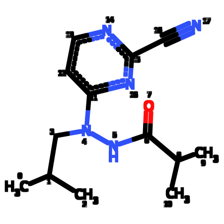 CC(C)CN(NC(=O)C(C)C)c1ccnc(C#N)n1